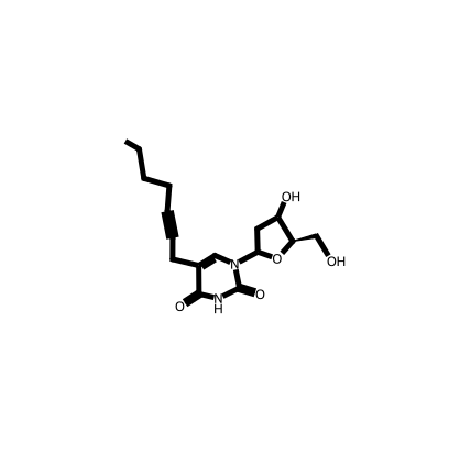 CCCCC#CCc1cn(C2CC(O)[C@@H](CO)O2)c(=O)[nH]c1=O